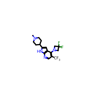 CN1CCC(c2cc3c(N4CC(F)(F)C4)c(C(F)(F)F)cnc3[nH]2)CC1